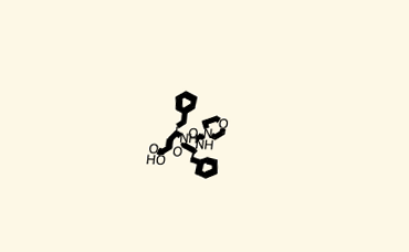 O=C(O)/C=C/[C@H](CCc1ccccc1)NC(=O)[C@H](Cc1ccccc1)NC(=O)N1CCOCC1